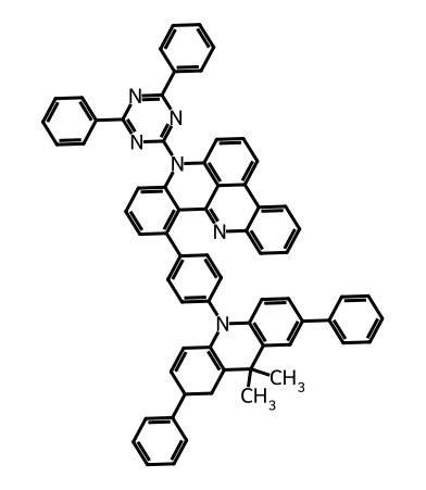 CC1(C)C2=C(C=CC(c3ccccc3)C2)N(c2ccc(-c3cccc4c3-c3nc5ccccc5c5cccc(c35)N4c3nc(-c4ccccc4)nc(-c4ccccc4)n3)cc2)c2ccc(-c3ccccc3)cc21